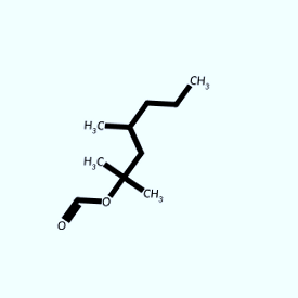 CCCC(C)CC(C)(C)O[C]=O